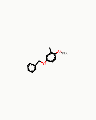 CCCCOc1ccc(OCc2ccccc2)cc1C